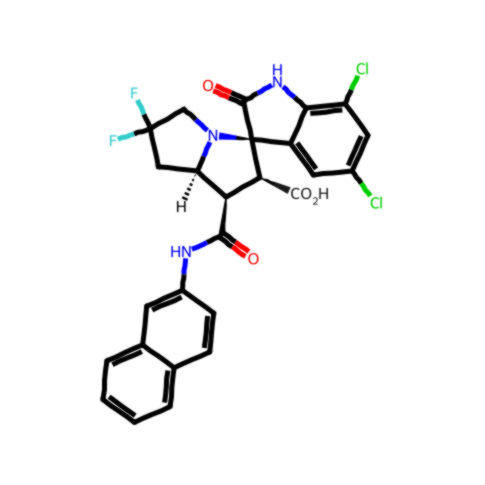 O=C(Nc1ccc2ccccc2c1)[C@H]1[C@H]2CC(F)(F)CN2[C@]2(C(=O)Nc3c(Cl)cc(Cl)cc32)[C@H]1C(=O)O